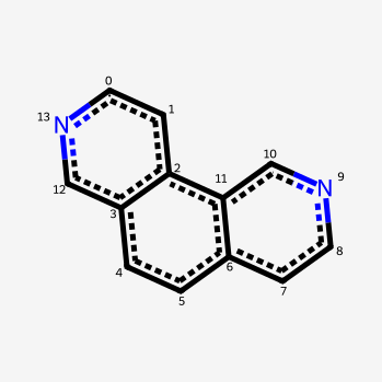 [c]1cc2c(ccc3ccncc32)cn1